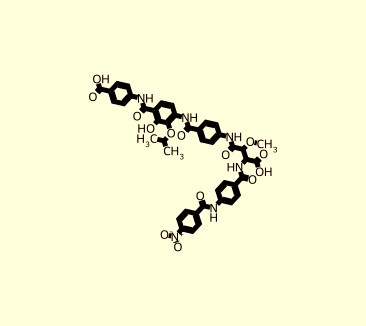 COC(C(=O)Nc1ccc(C(=O)Nc2ccc(C(=O)Nc3ccc(C(=O)O)cc3)c(O)c2OC(C)C)cc1)C(NC(=O)c1ccc(NC(=O)c2ccc([N+](=O)[O-])cc2)cc1)C(=O)O